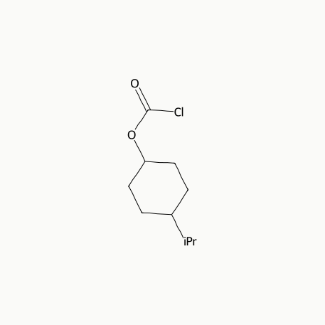 CC(C)C1CCC(OC(=O)Cl)CC1